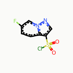 O=S(=O)(Cl)c1cnn2cc(F)ccc12